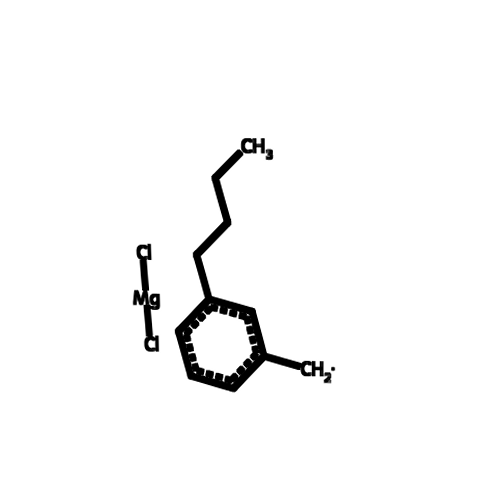 [CH2]c1cccc(CCCC)c1.[Cl][Mg][Cl]